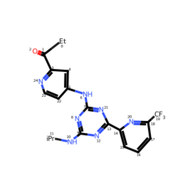 CCC(=O)c1cc(Nc2nc(NC(C)C)nc(-c3cccc(C(F)(F)F)n3)n2)ccn1